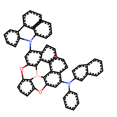 c1ccc(-c2ccccc2N(c2ccccc2)c2cc3c(c4ccccc24)B2c4c(cccc4O3)Oc3cc(N(c4ccccc4)c4ccc5ccccc5c4)c4ccccc4c32)cc1